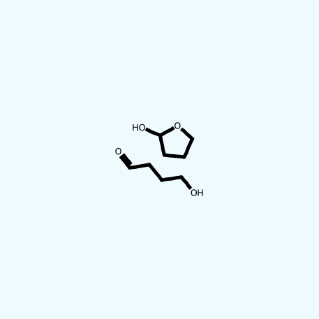 O=CCCCO.OC1CCCO1